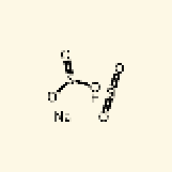 O=S([O-])O.O=[Si]=O.[Na+]